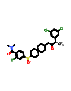 CN(C)C(=O)c1ccc([S+]([O-])C2CCC3(CCC(CC(=O)[C@H](c4cc(Cl)cc(Cl)c4)C(F)(F)F)CC3)CC2)cc1Cl